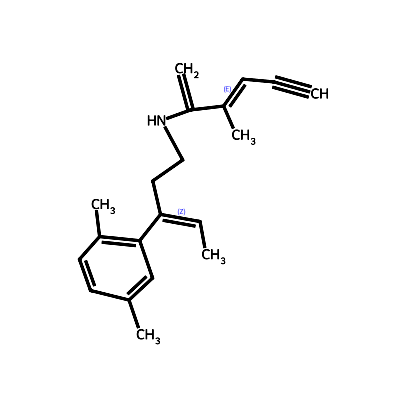 C#C/C=C(\C)C(=C)NCC/C(=C/C)c1cc(C)ccc1C